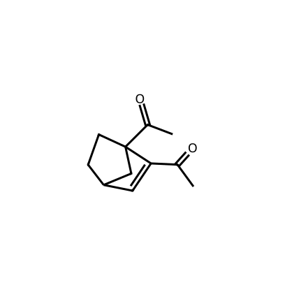 CC(=O)C1=CC2CCC1(C(C)=O)C2